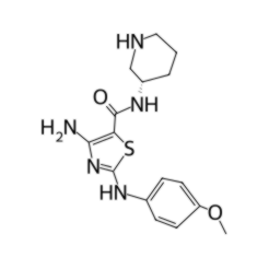 COc1ccc(Nc2nc(N)c(C(=O)N[C@H]3CCCNC3)s2)cc1